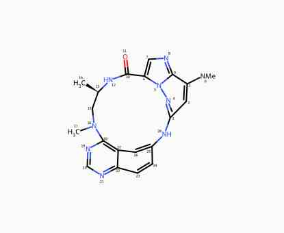 CNc1cc2nn3c(cnc13)C(=O)N[C@H](C)CN(C)c1ncnc3ccc(cc13)N2